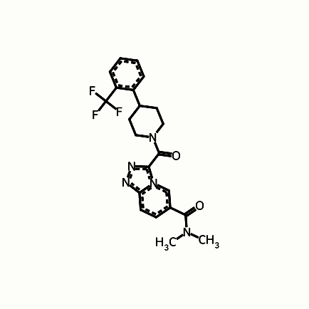 CN(C)C(=O)c1ccc2nnc(C(=O)N3CCC(c4ccccc4C(F)(F)F)CC3)n2c1